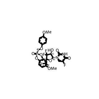 COc1ccc(OSP(=O)(OC[C@@]2(C(F)F)O[C@@H](n3cc(F)c(=O)[nH]c3=O)[C@H](O)C2(F)F)Oc2ccc(OC)cc2)cc1